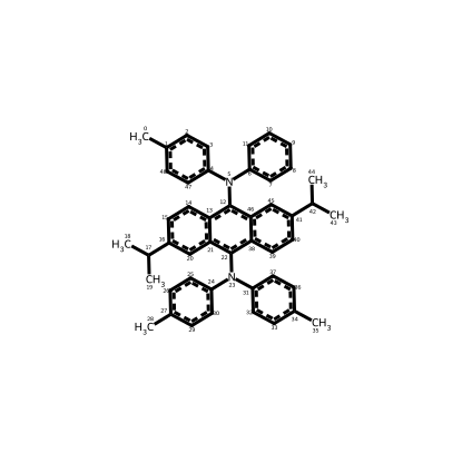 Cc1ccc(N(c2ccccc2)c2c3ccc(C(C)C)cc3c(N(c3ccc(C)cc3)c3ccc(C)cc3)c3ccc(C(C)C)cc23)cc1